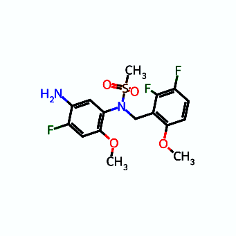 COc1cc(F)c(N)cc1N(Cc1c(OC)ccc(F)c1F)S(C)(=O)=O